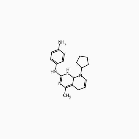 CC1=C2CC=CN(C3CCCC3)C2NC(Nc2ccc(N)cc2)=N1